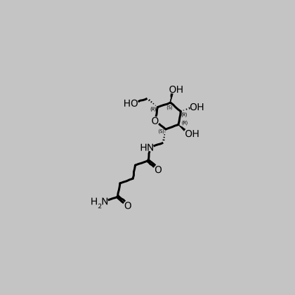 NC(=O)CCCC(=O)NC[C@@H]1O[C@H](CO)[C@@H](O)[C@H](O)[C@H]1O